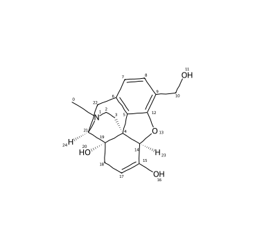 CN1CC[C@]23c4c5ccc(CO)c4O[C@H]2C(O)=CC[C@@]3(O)[C@H]1C5